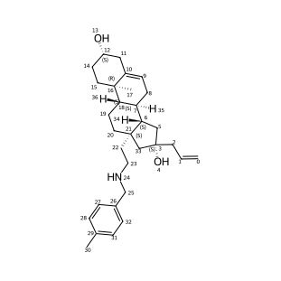 C=CC[C@]1(O)C[C@H]2[C@@H]3CC=C4C[C@@H](O)CC[C@]4(C)[C@H]3CC[C@]2(CCNCc2ccc(C)cc2)C1